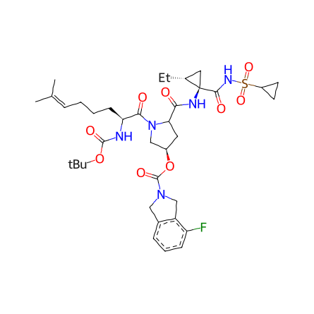 CC[C@@H]1C[C@]1(NC(=O)C1C[C@@H](OC(=O)N2Cc3cccc(F)c3C2)CN1C(=O)[C@H](CCCC=C(C)C)NC(=O)OC(C)(C)C)C(=O)NS(=O)(=O)C1CC1